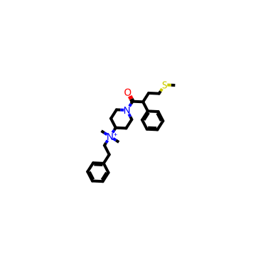 CSCCC(C(=O)N1CCC([N+](C)(C)CCc2ccccc2)CC1)c1ccccc1